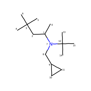 CC(CC(C)(C)C)N(CC1CC1)C(C)(C)C